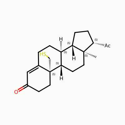 CC(=O)[C@H]1CC[C@H]2[C@@H]3CCC4=CC(=O)CC[C@]4(CS)[C@H]3CC[C@]12C